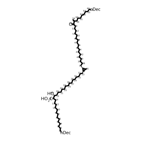 CCCCCCCCCCCCCCCCCCCCCCCC[C@@H](C(=O)O)[C@H](O)CCCCCCCCCCCCCCC[C@@H]1C[C@@H]1CCCCCCCCCCCCCCCCCCC(=O)C(C)CCCCCCCCCCCCCCCCCC